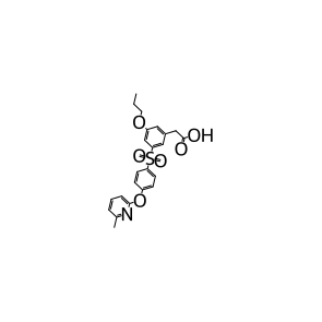 CCCOc1cc(CC(=O)O)cc(S(=O)(=O)c2ccc(Oc3cccc(C)n3)cc2)c1